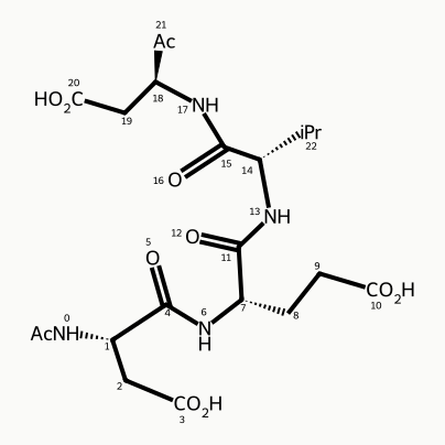 CC(=O)N[C@@H](CC(=O)O)C(=O)N[C@@H](CCC(=O)O)C(=O)N[C@H](C(=O)N[C@@H](CC(=O)O)C(C)=O)C(C)C